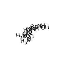 COc1cc(OC)c(Cl)c(-c2ccc3c(NC(=O)c4ccc(NCCO)cc4)n[nH]c3n2)c1Cl